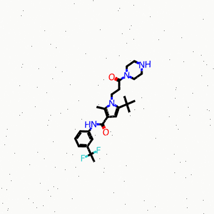 Cc1c(C(=O)Nc2cccc(C(C)(F)F)c2)cc(C(C)(C)C)n1CCC(=O)N1CCNCC1